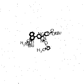 CN1CCC[C@H]1COc1nc2c(c(C3(C#N)CCN(C(=O)OC(C)(C)C)CC3)n1)CCC(c1cc(O[Si](C)(C)C(C)(C)C)cc3ccccc13)C2